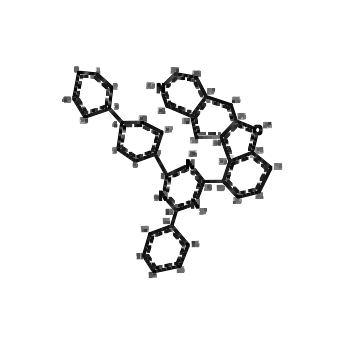 c1ccc(-c2ccc(-c3nc(-c4ccccc4)nc(-c4cccc5oc6cc7ccncc7cc6c45)n3)cc2)cc1